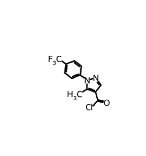 Cc1c(C(=O)Cl)cnn1-c1ccc(C(F)(F)F)cc1